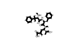 CN[C@H](C(=O)N[C@@H](Cc1ccccc1)C(=O)N(C)[C@H](C=C(C)C(=O)O)C(C)C)C(C)(C)c1ccccc1.Cl